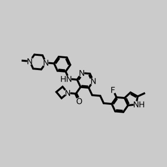 Cc1cc2c(F)c(CCCc3ncnc(Nc4cccc(N5CCN(C)CC5)c4)c3C(=O)N3CCC3)ccc2[nH]1